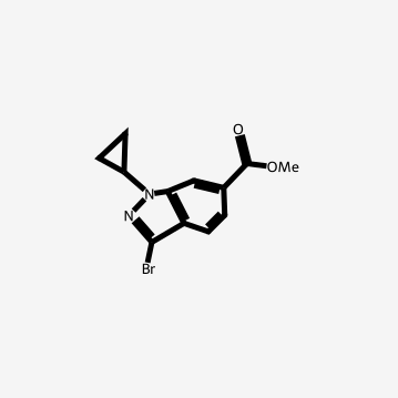 COC(=O)c1ccc2c(Br)nn(C3CC3)c2c1